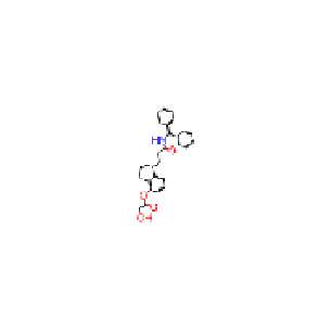 O=C(CCC1CCCc2c(OC(=O)CO)cccc21)NC(c1ccccc1)c1ccccc1